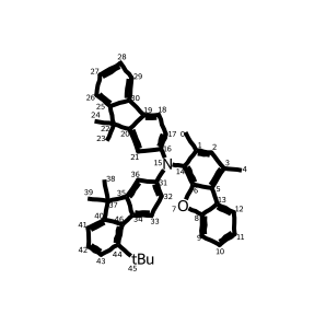 Cc1cc(C)c2c(oc3ccccc32)c1N(c1ccc2c(c1)C(C)(C)c1ccccc1-2)c1ccc2c(c1)C(C)(C)c1cccc(C(C)(C)C)c1-2